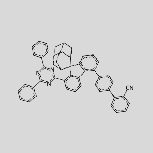 N#Cc1ccccc1-c1ccc(-c2cccc3c2-c2cccc(-c4nc(-c5ccccc5)nc(-c5ccccc5)n4)c2C32C3CC4CC(C3)CC2C4)cc1